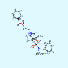 CCCCCN(C(=O)O[C@H]1C[N+]2(CCOCc3ccccc3)CCC1CC2)c1ccccc1